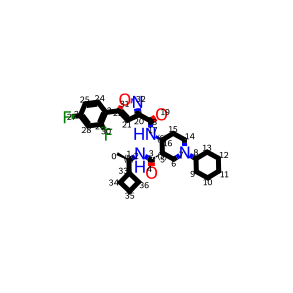 C[C@@H](NC(=O)[C@H]1CN(C2CCCCC2)CC[C@@H]1NC(=O)c1cc(-c2ccc(F)cc2F)on1)C1CCC1